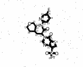 CC(C)S(=O)(=O)c1csc2c(=O)n(C(CC3CCOCC3)C(=O)Nc3ccc(F)cn3)cnc12